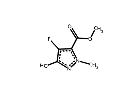 COC(=O)c1c(F)c(O)nn1C